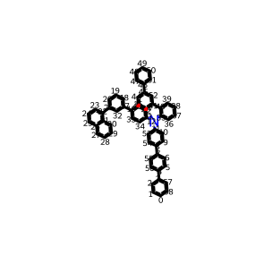 c1ccc(-c2ccc(-c3ccc(N(c4ccc(-c5cccc(-c6cccc7ccccc67)c5)cc4)c4ccccc4-c4cccc(-c5ccccc5)c4)cc3)cc2)cc1